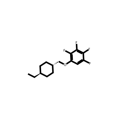 CC[C@H]1CC[C@H](COc2cc(F)c(F)c(F)c2F)CC1